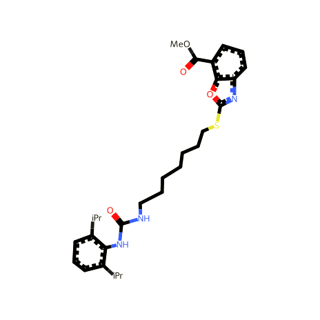 COC(=O)c1cccc2nc(SCCCCCCCNC(=O)Nc3c(C(C)C)cccc3C(C)C)oc12